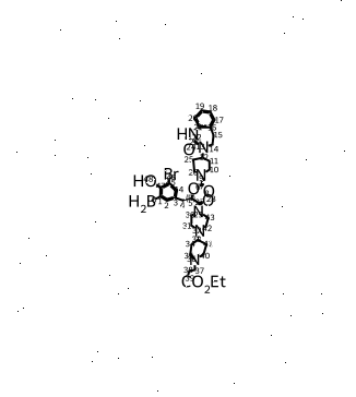 Bc1cc(C[C@@H](OC(=O)N2CCC(N3CCc4ccccc4NC3=O)CC2)C(=O)N2CCN(C3CCN(CCC(=O)OCC)CC3)CC2)cc(Br)c1O